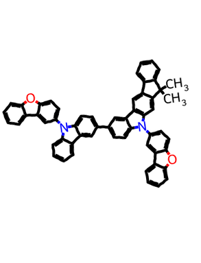 CC1(C)c2ccccc2-c2cc3c4cc(-c5ccc6c(c5)c5ccccc5n6-c5ccc6oc7ccccc7c6c5)ccc4n(-c4ccc5oc6ccccc6c5c4)c3cc21